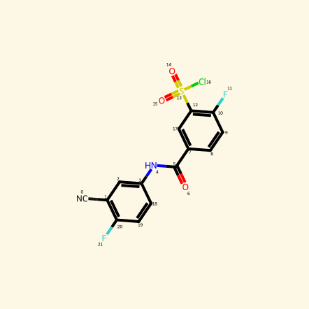 N#Cc1cc(NC(=O)c2ccc(F)c(S(=O)(=O)Cl)c2)ccc1F